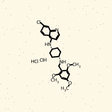 COc1cc(OC)c(CN[C@H]2CC[C@@H](Nc3ccnc4cc(Cl)ccc34)CC2)c(OC)c1.Cl.Cl